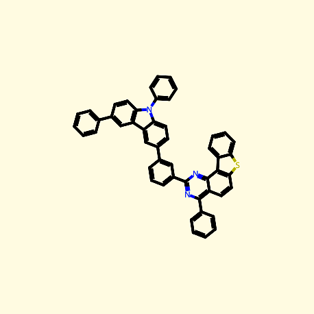 c1ccc(-c2ccc3c(c2)c2cc(-c4cccc(-c5nc(-c6ccccc6)c6ccc7sc8ccccc8c7c6n5)c4)ccc2n3-c2ccccc2)cc1